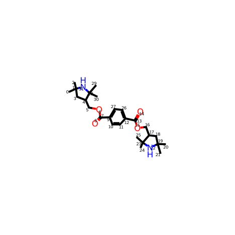 CC1(C)CC(COC(=O)c2ccc(C(=O)OCC3CC(C)(C)NC3(C)C)cc2)C(C)(C)N1